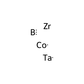 [B].[Co].[Ta].[Zr]